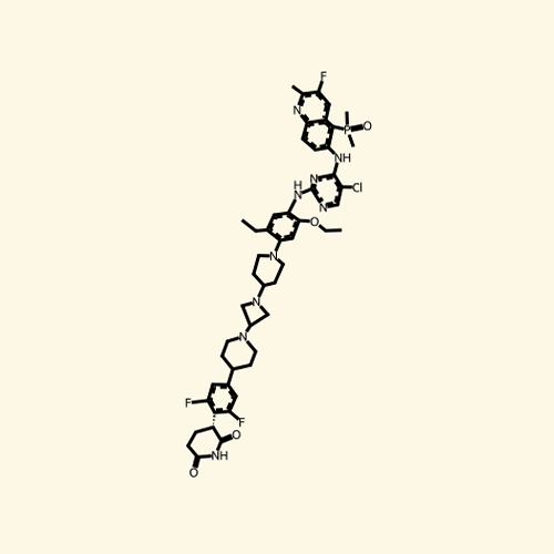 CCOc1cc(N2CCC(N3CC(N4CCC(c5cc(F)c([C@H]6CCC(=O)NC6=O)c(F)c5)CC4)C3)CC2)c(CC)cc1Nc1ncc(Cl)c(Nc2ccc3nc(C)c(F)cc3c2P(C)(C)=O)n1